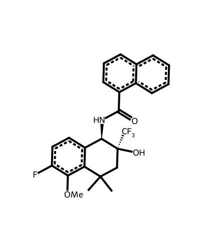 COc1c(F)ccc2c1C(C)(C)C[C@@](O)(C(F)(F)F)[C@@H]2NC(=O)c1cccc2ccccc12